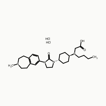 CCCCN(CC(=O)O)[C@H]1CC[C@H](N2CCN(c3ccc4c(c3)CCN(C)CC4)C2=O)CC1.Cl.Cl